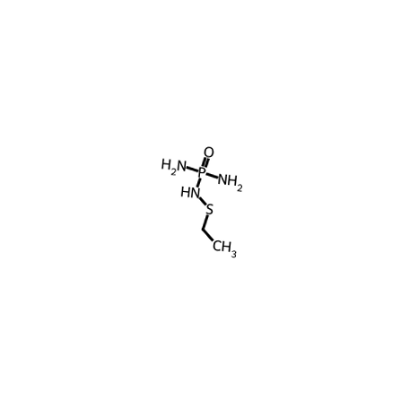 CCSNP(N)(N)=O